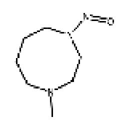 CN1CCCCN(N=O)CC1